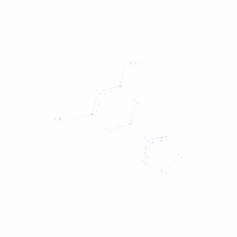 COc1nc(OC)nc(-n2cnnn2)n1